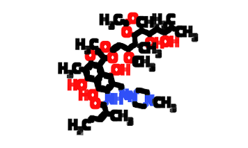 C=C/C=C(/C)C(=O)Nc1c(/C=N/N2CCN(C)CC2)c(O)c2c3c(c(C)c(O)c2c1O)O[C@](C)(O/C=C/[C@H](OC)[C@@H](C)[C@@H](OC(C)=O)[C@H](C)[C@H](O)C[C@@H](O)C(C)C)C3=O